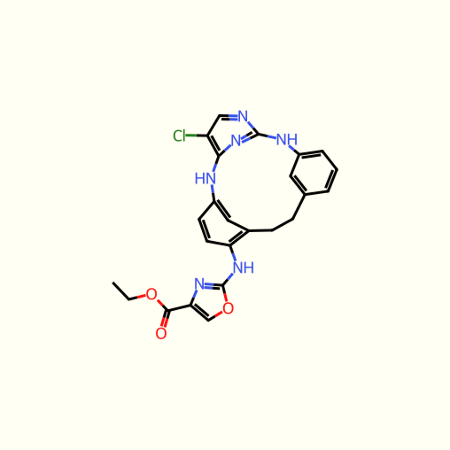 CCOC(=O)c1coc(Nc2ccc3cc2CCc2cccc(c2)Nc2ncc(Cl)c(n2)N3)n1